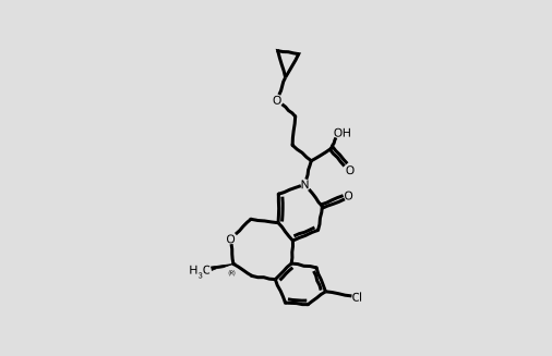 C[C@@H]1Cc2ccc(Cl)cc2-c2cc(=O)n(C(CCOC3CC3)C(=O)O)cc2CO1